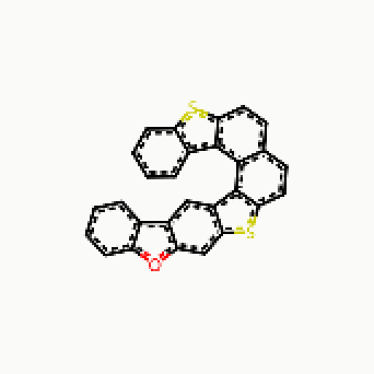 c1ccc2c(c1)oc1cc3sc4ccc5ccc6sc7ccccc7c6c5c4c3cc12